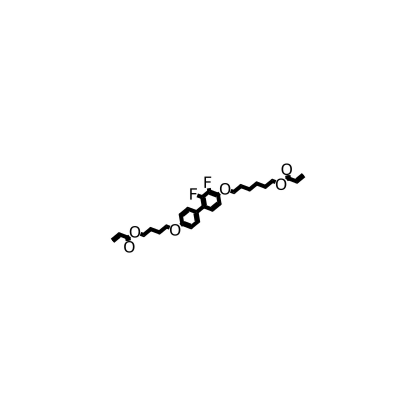 C=CC(=O)OCCCCCCOc1ccc(-c2ccc(OCCCCOC(=O)C=C)cc2)c(F)c1F